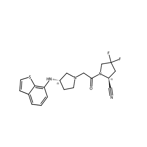 N#C[C@@H]1CC(F)(F)CN1C(=O)CN1CC[C@H](Nc2cccc3ccsc23)C1